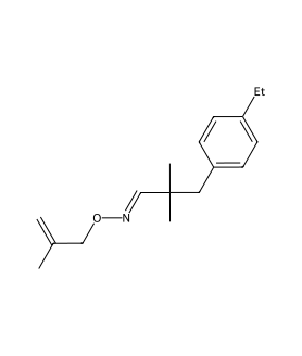 C=C(C)CO/N=C/C(C)(C)Cc1ccc(CC)cc1